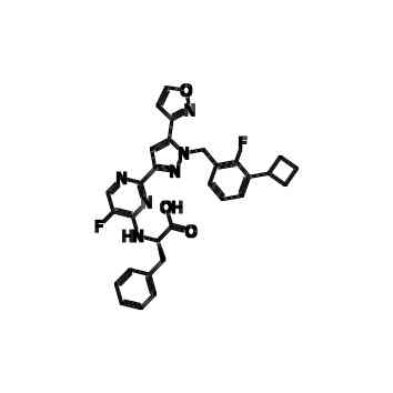 O=C(O)[C@@H](Cc1ccccc1)Nc1nc(-c2cc(-c3ccon3)n(Cc3cccc(C4CCC4)c3F)n2)ncc1F